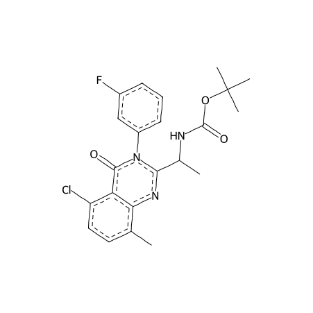 Cc1ccc(Cl)c2c(=O)n(-c3cccc(F)c3)c(C(C)NC(=O)OC(C)(C)C)nc12